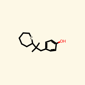 CC(C)(Cc1ccc(O)cc1)C1CCCCCC1